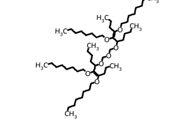 CCCCCCCCOC(CCC)=C(OCCCCCCCC)C(CCCC)OCOCOC(CCCC)C(OCCCCCCCC)=C(CCC)OCCCCCCCC